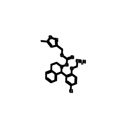 Cc1cc(COC(=O)ON2CCc3ccccc3C2c2cc(Cl)ccc2OCC(=O)O)no1